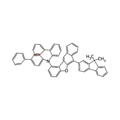 CC1(C)c2ccccc2-c2ccc(-c3c4ccccc4cc4c3oc3cccc(N(c5ccc(-c6ccccc6)cc5)c5ccccc5-c5ccccc5)c34)cc21